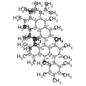 BBB(B(B)B)c1c(B(B(B)B)B(B)B)c(C)c2c(C)c(C)c(-c3c4c(C)c(C)c(C)c(C)c4c(C)c4c(-c5c(C)c(C)c(C)c(C)c5C)c(C)c(C)c(C)c34)c(B(B)BB)c2c1B(B)B(B)B